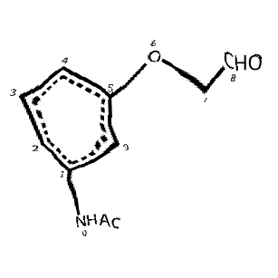 CC(=O)Nc1cccc(OCC=O)c1